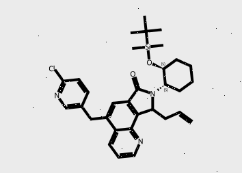 C=CCC1c2c(cc(Cc3ccc(Cl)nc3)c3cccnc23)C(=O)N1[C@H]1CCCC[C@@H]1O[Si](C)(C)C(C)(C)C